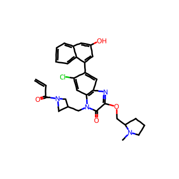 C=CC(=O)N1CC(Cn2c(=O)c(OCC3CCCN3C)nc3cc(-c4cc(O)cc5ccccc45)c(Cl)cc32)C1